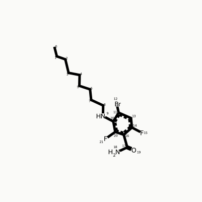 CCCCCCCCCNc1c(Br)cc(F)c(C(N)=O)c1F